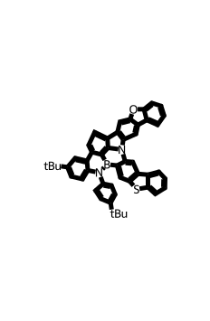 CC(C)(C)c1ccc(N2B3c4cc5sc6ccccc6c5cc4-n4c5cc6c(cc5c5ccc(c3c54)-c3cc(C(C)(C)C)ccc32)oc2ccccc26)cc1